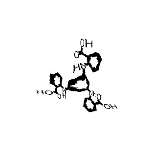 O=C(O)c1ccccc1Nc1cc(Nc2ccccc2C(=O)O)cc(Nc2ccccc2C(=O)O)c1